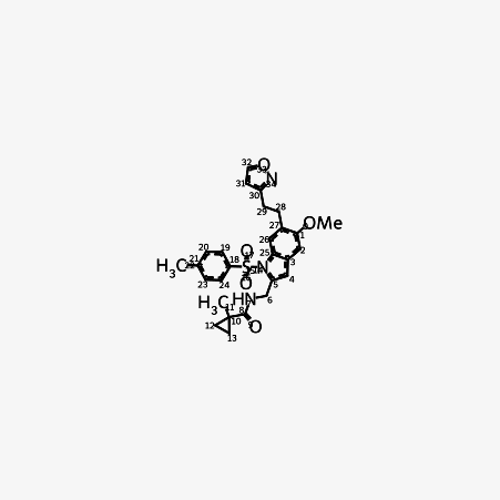 COc1cc2cc(CNC(=O)C3(C)CC3)n(S(=O)(=O)c3ccc(C)cc3)c2cc1CCc1ccon1